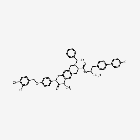 CC[C@@H](c1ccccc1)N1Cc2cc3c(cc2C[C@H]1C(=O)NC(Cc1ccc(-c2ccc(Cl)cc2)cc1)C(=O)O)N(C)C(=O)[C@@H](c1ccc(OCc2ccc(Cl)c(Cl)c2)cc1)O3